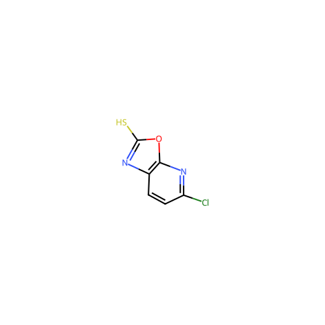 Sc1nc2ccc(Cl)nc2o1